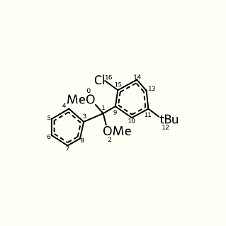 COC(OC)(c1ccccc1)c1cc(C(C)(C)C)ccc1Cl